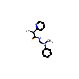 CC(C)C(C(=S)NCN(C)c1ccccc1)c1ccccn1